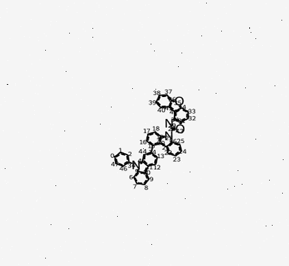 c1ccc(-n2c3ccccc3c3ccc(-c4cccc5c4c4ccccc4n5-c4nc5c(ccc6oc7ccccc7c65)o4)cc32)cc1